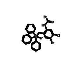 CCC(=O)Nc1cc(Cl)c(Br)cc1CP(Br)(c1ccccc1)(c1ccccc1)c1ccccc1